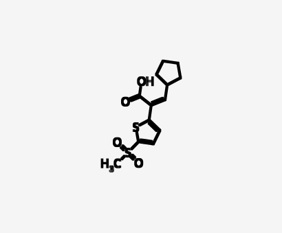 CS(=O)(=O)c1ccc(/C(=C/C2CCCC2)C(=O)O)s1